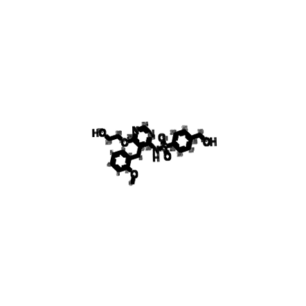 COc1ccccc1Cc1c(NS(=O)(=O)c2ccc(CO)cc2)ncnc1OCCO